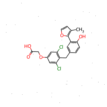 Cc1ccoc1-c1cc(Cc2c(Cl)cc(OCC(=O)O)cc2Cl)ccc1O